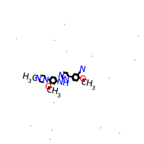 COc1ccc(-c2ccnc(Nc3ccc(N4CCN(C)CC4)c(OC)c3)n2)cc1C#N